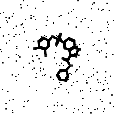 O=C(Nc1ccccc1)c1n[nH]c2ccc(S(=O)(=O)Oc3ccc(Cl)c(Cl)c3)cc12